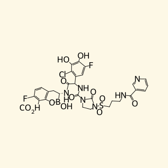 O=C(NCCCS(=O)(=O)N1CCN(C(=O)NC(C(=O)N[C@H]2Cc3ccc(F)c(C(=O)O)c3OB2O)c2cc(F)c(O)c(O)c2Cl)C1=O)c1cccnc1